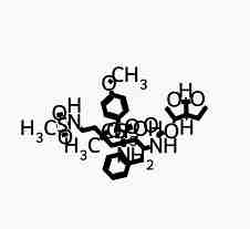 COc1ccc(S(=O)(=O)C(N)(CC(C)(C)CCNS(C)(=O)=O)[C@H](O)[C@H](Cc2ccccc2)NC(=O)O[C@H]2CO[C@H]3OCC[C@H]32)cc1